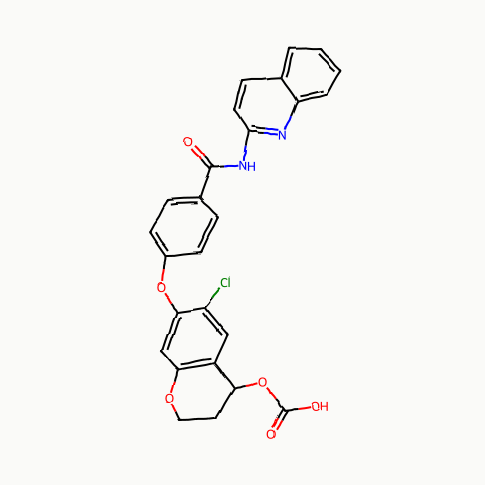 O=C(O)OC1CCOc2cc(Oc3ccc(C(=O)Nc4ccc5ccccc5n4)cc3)c(Cl)cc21